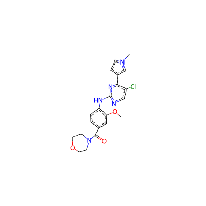 COc1cc(C(=O)N2CCOCC2)ccc1Nc1ncc(Cl)c(-c2ccn(C)c2)n1